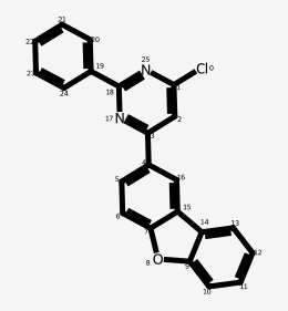 Clc1cc(-c2ccc3oc4ccccc4c3c2)nc(-c2ccccc2)n1